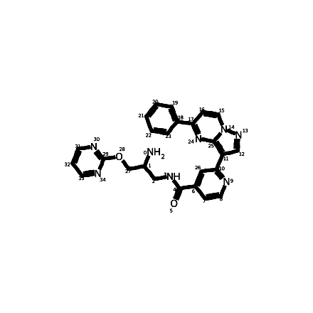 NC(CNC(=O)c1ccnc(-c2cnn3ccc(-c4ccccc4)nc23)c1)COc1ncccn1